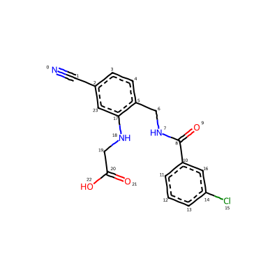 N#Cc1ccc(CNC(=O)c2cccc(Cl)c2)c(NCC(=O)O)c1